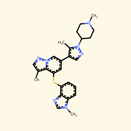 Cc1c(-c2cc(Sc3cccc4c3ncn4C)c3c(C#N)cnn3c2)cnn1C1CCN(C)CC1